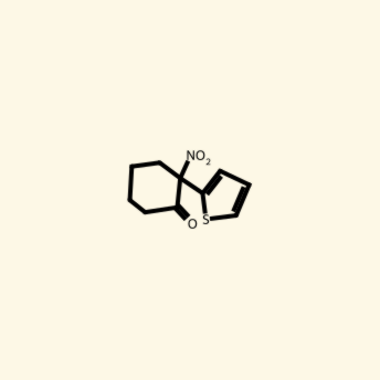 O=C1CCCCC1(c1cccs1)[N+](=O)[O-]